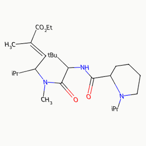 CCOC(=O)/C(C)=C/C(C(C)C)N(C)C(=O)C(NC(=O)C1CCCCN1C(C)C)C(C)(C)C